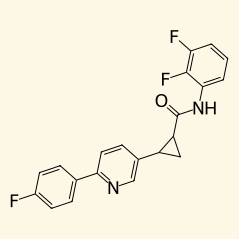 O=C(Nc1cccc(F)c1F)C1CC1c1ccc(-c2ccc(F)cc2)nc1